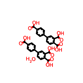 O.O=C(O)c1ccc(-c2ccc(C(=O)O)c(C(=O)O)c2)cc1.O=C(O)c1ccc(-c2ccc(C(=O)O)c(C(=O)O)c2)cc1